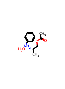 CCCOC(C)=O.Nc1ccccc1.O